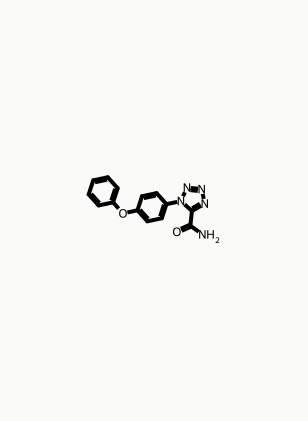 NC(=O)c1nnnn1-c1ccc(Oc2ccccc2)cc1